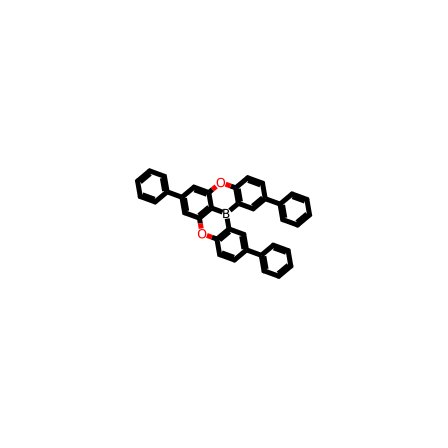 c1ccc(-c2cc3c4c(c2)Oc2ccc(-c5ccccc5)cc2B4c2cc(-c4ccccc4)ccc2O3)cc1